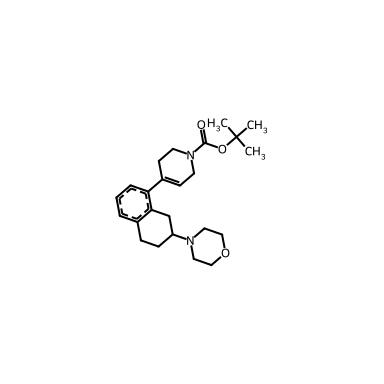 CC(C)(C)OC(=O)N1CC=C(c2cccc3c2CC(N2CCOCC2)CC3)CC1